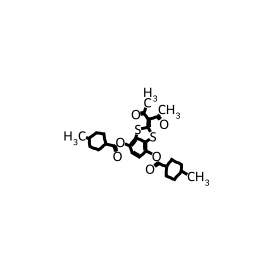 CC(=O)C(C(C)=O)=C1Sc2c(OC(=O)C3CCC(C)CC3)ccc(OC(=O)C3CCC(C)CC3)c2S1